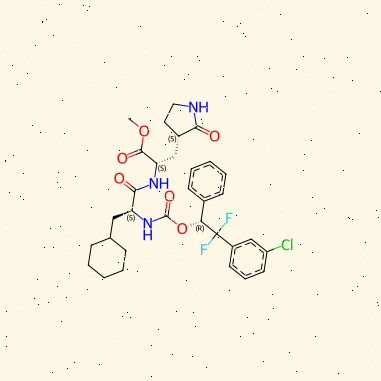 COC(=O)[C@H](C[C@@H]1CCNC1=O)NC(=O)[C@H](CC1CCCCC1)NC(=O)O[C@H](c1ccccc1)C(F)(F)c1cccc(Cl)c1